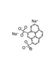 O=S(=O)([O-])c1cc2c(S(=O)(=O)[O-])ccc3ccc4cccc1c4c32.[Na+].[Na+]